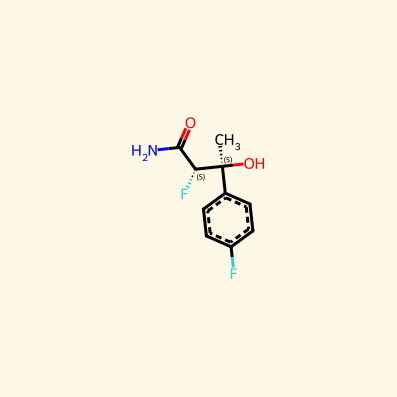 C[C@](O)(c1ccc(F)cc1)[C@H](F)C(N)=O